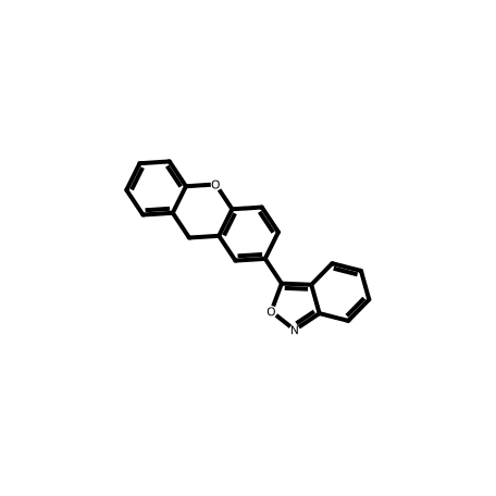 c1ccc2c(c1)Cc1cc(-c3onc4ccccc34)ccc1O2